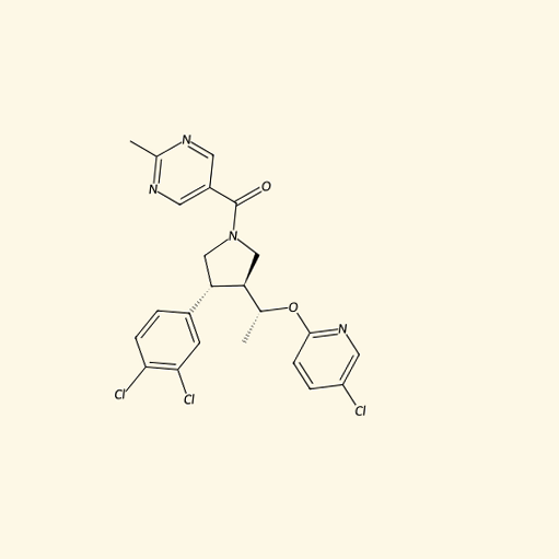 Cc1ncc(C(=O)N2C[C@@H]([C@@H](C)Oc3ccc(Cl)cn3)[C@H](c3ccc(Cl)c(Cl)c3)C2)cn1